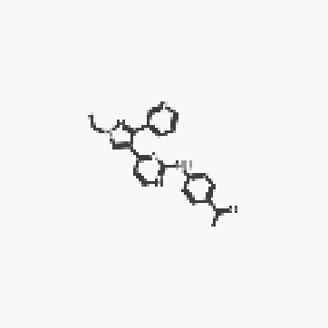 CCn1cc(-c2ccnc(Nc3ccc(C(C)=O)cc3)n2)c(-c2cccnc2)n1